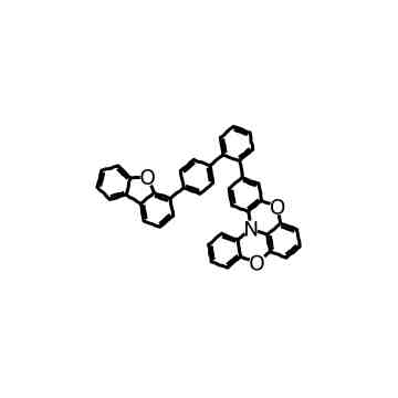 c1ccc2c(c1)Oc1cccc3c1N2c1ccc(-c2ccccc2-c2ccc(-c4cccc5c4oc4ccccc45)cc2)cc1O3